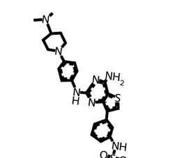 CN(C)C1CCN(c2ccc(Nc3nc(N)c4scc(-c5cccc(NS(C)(=O)=O)c5)c4n3)cc2)CC1